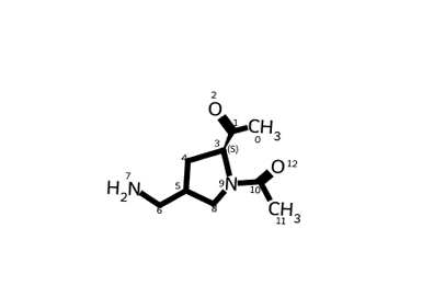 CC(=O)[C@@H]1CC(CN)CN1C(C)=O